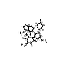 CN(C(=O)c1cn2c(-c3ccc4ncn(C)c4c3)c(-c3ccc(F)cc3)nc(N)c2n1)C1CCNC1